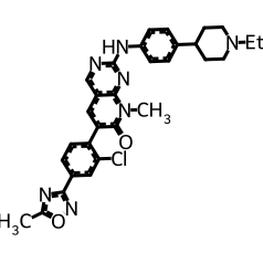 CCN1CCC(c2ccc(Nc3ncc4cc(-c5ccc(-c6noc(C)n6)cc5Cl)c(=O)n(C)c4n3)cc2)CC1